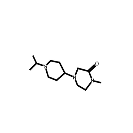 CC(C)N1CCC(N2CCN(C)C(=O)C2)CC1